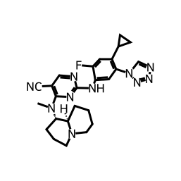 CN(c1nc(Nc2cc(-n3cnnn3)c(C3CC3)cc2F)ncc1C#N)[C@H]1CCCN2CCCC[C@H]12